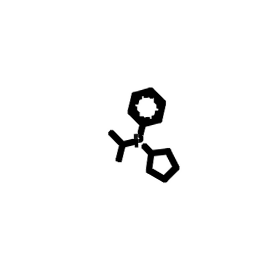 CC(C)P(c1ccccc1)C1CCCC1